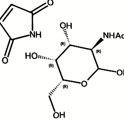 CC(=O)N[C@H]1C(O)O[C@H](CO)[C@H](O)[C@@H]1O.O=C1C=CC(=O)N1